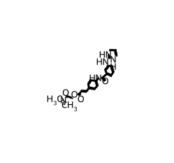 CN(C)C(=O)COC(=O)C=Cc1ccc(NC(=O)c2cccc(NC3NC=CCN3)c2)cc1